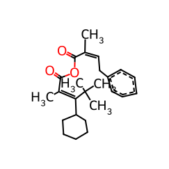 CC(=CCc1ccccc1)C(=O)OC(=O)C(C)=C(C1CCCCC1)C(C)(C)C